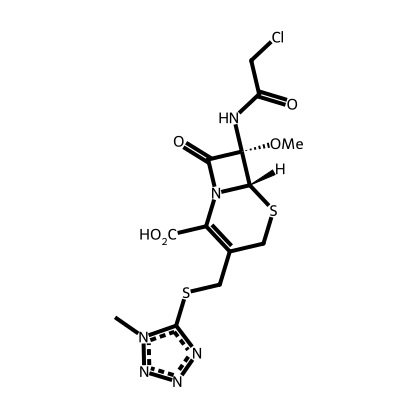 CO[C@@]1(NC(=O)CCl)C(=O)N2C(C(=O)O)=C(CSc3nnnn3C)CS[C@H]21